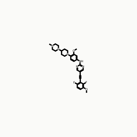 COc1cc(Nc2ncc(C#Cc3c(F)ccc(OC)c3F)cn2)ccc1N1CCC(N2CCN(C)CC2)CC1